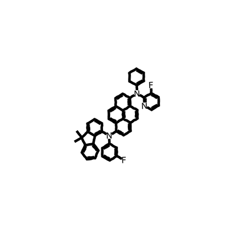 CC1(C)c2ccccc2-c2c(N(c3cccc(F)c3)c3ccc4ccc5c(N(C6=CC=CCC6)c6ncccc6F)ccc6ccc3c4c65)cccc21